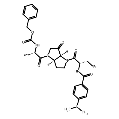 CC(C)C[C@H](NC(=O)c1ccc(N(C)C)cc1)C(=O)N1CC[C@@H]2[C@H]1C(=O)CN2C(=O)[C@@H](NC(=O)OCc1ccccc1)C(C)C